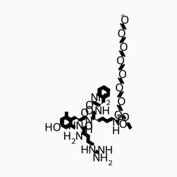 CCOP(=O)(NCCCC[C@H](NC(=O)[C@H](Cc1c(C)cc(O)cc1C)NC(=O)[C@H](N)CCCNC(=N)N)C(=O)N[C@@H](Cc1ccccc1)C(N)=O)OCCOCCOCCOCCOCCOCCOCCOC